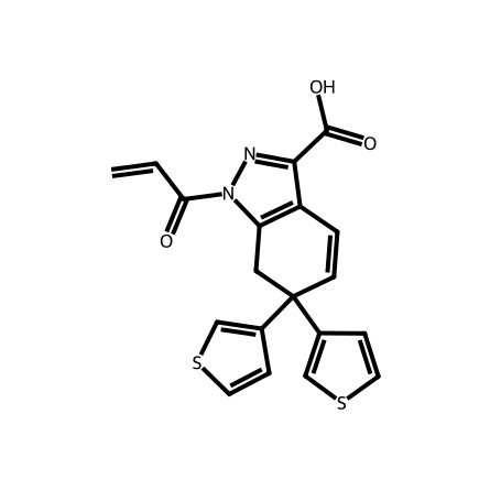 C=CC(=O)n1nc(C(=O)O)c2c1CC(c1ccsc1)(c1ccsc1)C=C2